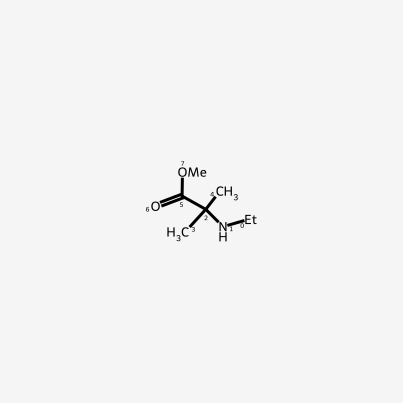 CCNC(C)(C)C(=O)OC